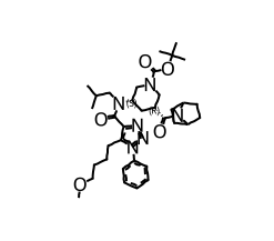 COCCCCc1c(C(=O)N(CC(C)C)[C@H]2C[C@@H](C(=O)N3C4CCC3CC4)CN(C(=O)OC(C)(C)C)C2)nnn1-c1ccccc1